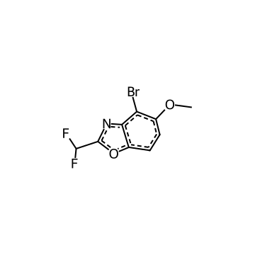 COc1ccc2oc(C(F)F)nc2c1Br